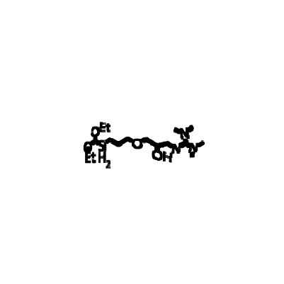 CCOC(OCC)[SiH2]CCCOCC(O)CN=C(N(C)C)N(C)C